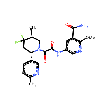 COc1ncc(NC(=O)C(=O)N2C[C@H](C)C(F)(F)C[C@H]2c2ccc(C)nc2)cc1C(N)=O